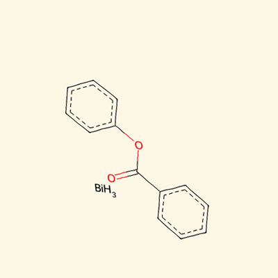 O=C(Oc1ccccc1)c1ccccc1.[BiH3]